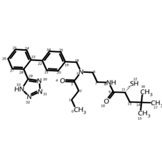 CCCC(=O)N(CCNC(=O)[C@H](S)CC(C)(C)C)Cc1ccc(-c2ccccc2-c2nnn[nH]2)cc1